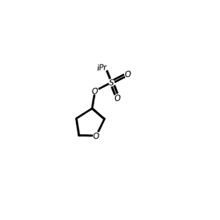 CC(C)S(=O)(=O)OC1CCOC1